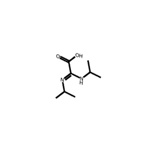 CC(C)N=C(NC(C)C)C(=O)O